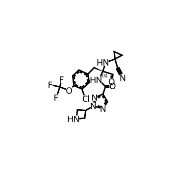 N#CC1(N[C@@](C=O)(Cc2ccc(OC(F)(F)F)c(Cl)c2)NC(=O)c2cnn(C3CNC3)n2)CC1